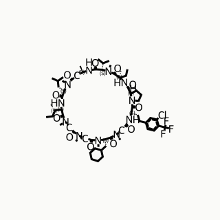 CC[C@H](C)[C@@H]1NC(=O)[C@H](CC(C)C)N(C)C(=O)C[C@@H](C)NC(=O)[C@H](C(C)C)N(C)C(=O)[C@@](C)(CC)NC(=O)[C@@H]2CCCN2C(=O)[C@H](CCc2ccc(C(F)(F)F)c(Cl)c2)NC(=O)CN(C)C(=O)[C@H](CC2CCCCC2)N(C)C(=O)CN(C)C(=O)CN(C)C1=O